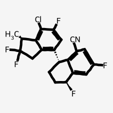 C[C@H]1c2c(Cl)c(F)cc([C@H]3CC[C@H](F)c4cc(F)cc(C#N)c43)c2CC1(F)F